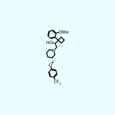 COc1ccccc1C1([C@H](O)CN2CCC[C@@H](COc3ccc(C(F)(F)F)cc3)C2)CCC1